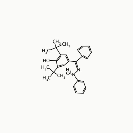 CN(N=C(c1ccccc1)c1cc(C(C)(C)C)c(O)c(C(C)(C)C)c1)c1ccccc1